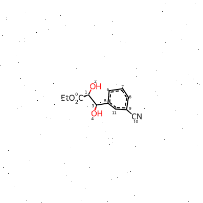 CCOC(=O)[C@@H](O)[C@H](O)c1cccc(C#N)c1